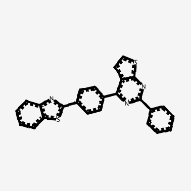 c1ccc(-c2nc(-c3ccc(-c4nc5ccccc5s4)cc3)c3ccsc3n2)cc1